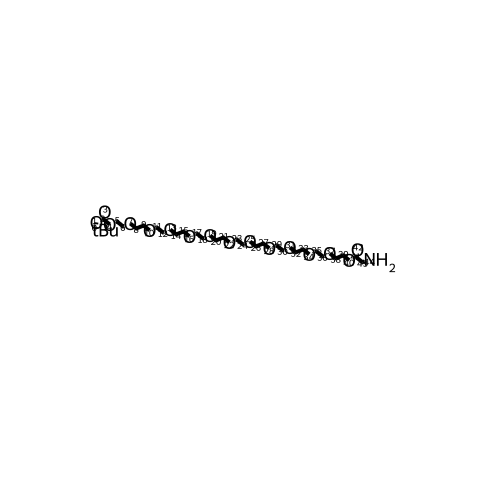 CC(C)(C)OC(=O)OCCOCCOCCOCCOCCOCCOCCOCCOCCOCCOCCOCCOC(=O)CN